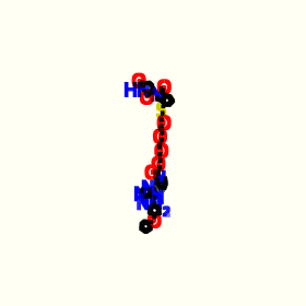 Nc1ncnc2c1c(-c1ccc(Oc3ccccc3)cc1)nn2[C@@H]1CCCN(C(=O)COCCOCCOCCOCCSc2cccc3c2CN(C2CCC(=O)NC2=O)C3=O)C1